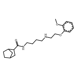 COc1ccccc1OCCNCCCCNC(=O)C1CC2CCC1C2